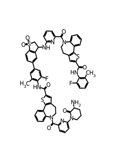 Cc1cccc(F)c1NC(=O)c1cc2c(s1)-c1ccccc1N(C(=O)c1cccc(NC3CS(=O)(=O)c4ccc(-c5cc(C)c(NC(=O)c6cc7c(s6)-c6ccccc6N(C(=O)c6cccc(N8CCC[C@H](N)C8=O)n6)CC7)c(F)c5)cc43)n1)CC2